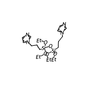 CCO[Si](CCCn1ccnc1)(OCC)O[Si](CCCn1ccnc1)(OCC)OCC